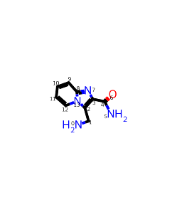 NCc1c(C(N)=O)nc2ccccn12